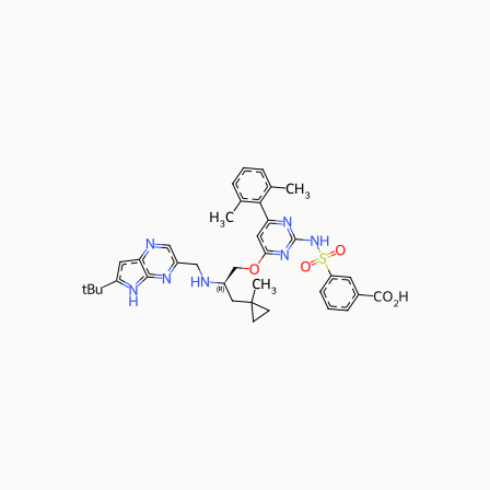 Cc1cccc(C)c1-c1cc(OC[C@@H](CC2(C)CC2)NCc2cnc3cc(C(C)(C)C)[nH]c3n2)nc(NS(=O)(=O)c2cccc(C(=O)O)c2)n1